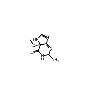 COC12NC=NC1=NC(N)NC2=O